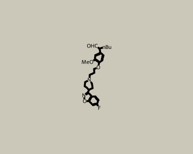 CCCCC(C=O)c1ccc(OCCCN2CCC(c3noc4cc(F)ccc34)CC2)c(OC)c1